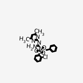 Cc1cc(C)nc(N=C(N)N(OCc2ccccc2)S(=O)(=O)c2ccccc2Cl)n1